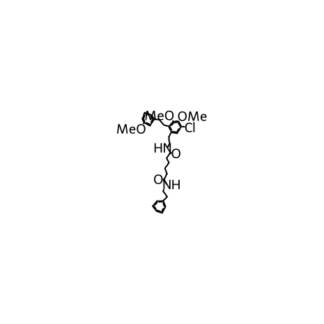 COc1cccc(CCc2c(CCNC(=O)CCCCC(=O)NCCc3ccccc3)cc(Cl)c(OC)c2OC)c1